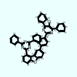 c1ccc(-c2nc(-c3ccccc3)nc(-c3cccc4oc5ccc(-c6ccc(-c7nc(-c8ccccc8)c8oc9ccccc9c8n7)cc6)cc5c34)n2)cc1